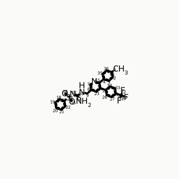 Cc1ccc(-c2ncc(CN/C(N)=N/S(=O)(=O)c3ccccc3)cc2-c2ccc(C(F)(F)F)cc2)cc1